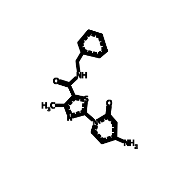 Cc1nc(-n2ccc(N)cc2=O)sc1C(=O)NCc1ccccc1